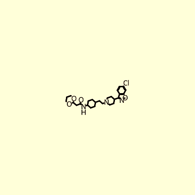 O=C(CC1OCCCO1)NC1CCC(CCN2CCC(c3noc4cc(Cl)ccc34)CC2)CC1